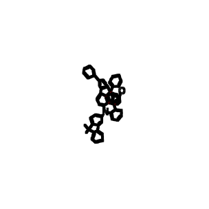 CC1(C)c2ccccc2-c2cc(N(c3ccc4c(c3)C3(c5ccccc5Oc5ccccc53)c3ccc(-c5ccccc5)cc3-4)c3ccccc3-c3ccccc3)ccc21